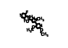 CCOc1cc(OC)c(-c2cc(C(=O)Nc3c(F)cncc3F)nn2C)cn1